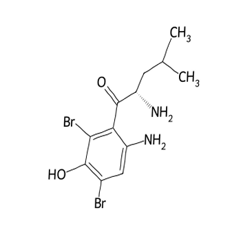 CC(C)C[C@H](N)C(=O)c1c(N)cc(Br)c(O)c1Br